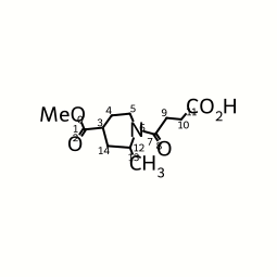 COC(=O)C1CCN(C(=O)CCC(=O)O)C(C)C1